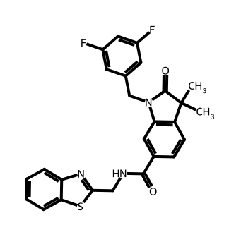 CC1(C)C(=O)N(Cc2cc(F)cc(F)c2)c2cc(C(=O)NCc3nc4ccccc4s3)ccc21